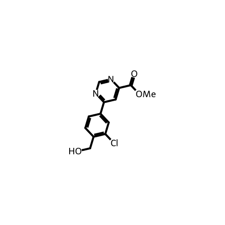 COC(=O)c1cc(-c2ccc(CO)c(Cl)c2)ncn1